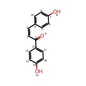 O=C(/C=C\c1ccc(O)cc1)c1ccc(O)cc1